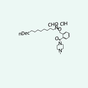 CCCCCCCCCCCCCCCCCCN(C=O)OCc1ccccc1C(=O)N1CCN(C)CC1.Cl